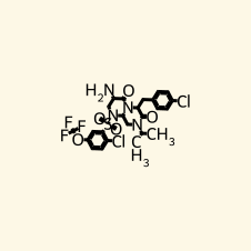 CC(C)N1CC2N(C(=O)C(N)CN2S(=O)(=O)c2cc(OC(F)(F)F)ccc2Cl)C(Cc2ccc(Cl)cc2)C1=O